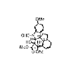 CC[C@]12C=CCN3CC[C@@]4(C5=CCC(OC)C=C5N(C=O)[C@H]4[C@@](O)(C(=O)OC)[C@@H]1OC(C)=O)[C@@H]32